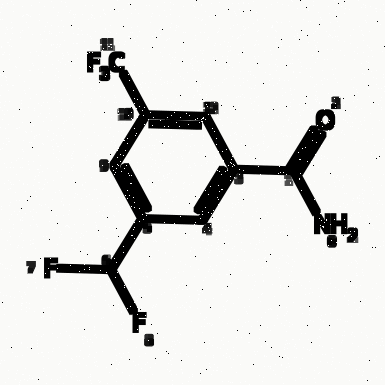 NC(=O)c1cc(C(F)F)cc(C(F)(F)F)c1